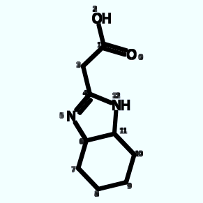 O=C(O)CC1=NC2CCCCC2N1